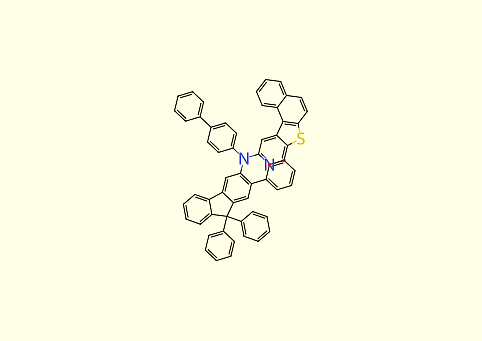 c1ccc(-c2ccc(N(c3cc4c(cn3)sc3ccc5ccccc5c34)c3cc4c(cc3-c3ccccc3)C(c3ccccc3)(c3ccccc3)c3ccccc3-4)cc2)cc1